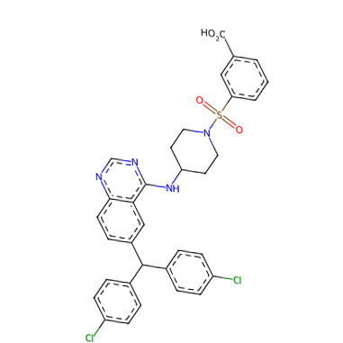 O=C(O)c1cccc(S(=O)(=O)N2CCC(Nc3ncnc4ccc(C(c5ccc(Cl)cc5)c5ccc(Cl)cc5)cc34)CC2)c1